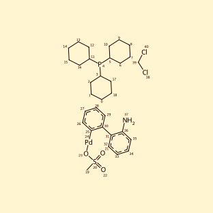 C1CCC(P(C2CCCCC2)C2CCCCC2)CC1.CS(=O)(=O)[O][Pd][c]1ccccc1-c1ccccc1N.ClCCl